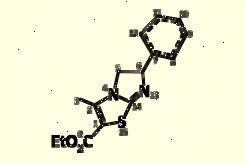 CCOC(=O)C1=C(C)N2CC(c3ccccc3)N=C2S1